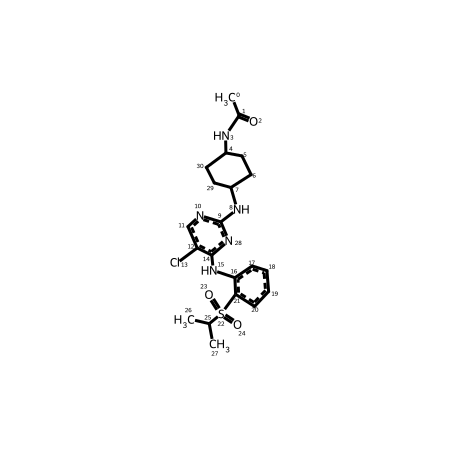 CC(=O)NC1CCC(Nc2ncc(Cl)c(Nc3ccccc3S(=O)(=O)C(C)C)n2)CC1